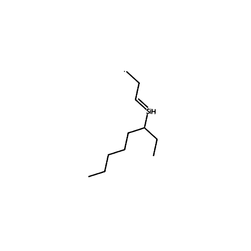 [CH2]CC=[SiH]C(CC)CCCCC